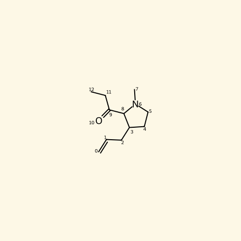 C=CCC1CCN(C)C1C(=O)CC